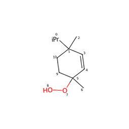 CC(C)C1(C)C=CC(C)(OO)CC1